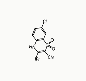 CC(C)C1=C(C#N)S(=O)(=O)c2cc(Cl)ccc2N1